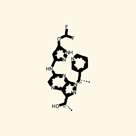 C[C@H](O)c1nn([C@@H](C)c2cccnc2)c2nc(Nc3cc(OC(F)F)[nH]n3)cnc12